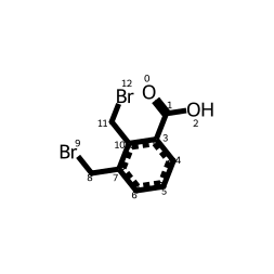 O=C(O)c1cccc(CBr)c1CBr